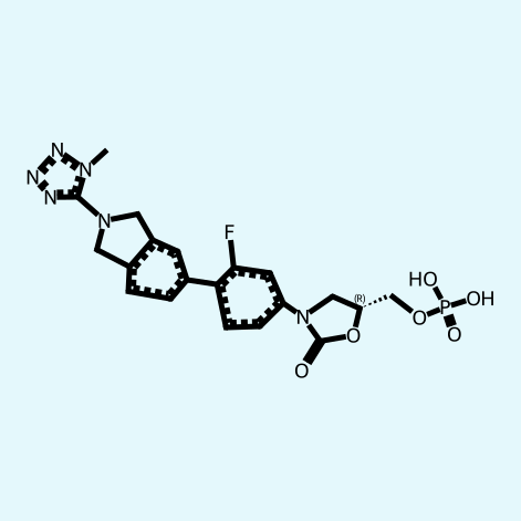 Cn1nnnc1N1Cc2ccc(-c3ccc(N4C[C@H](COP(=O)(O)O)OC4=O)cc3F)cc2C1